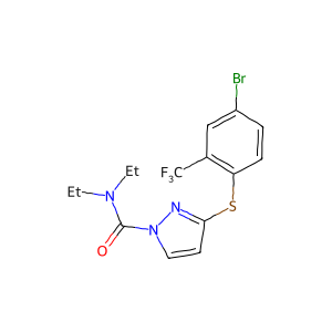 CCN(CC)C(=O)n1ccc(Sc2ccc(Br)cc2C(F)(F)F)n1